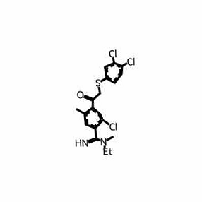 CCN(C)C(=N)c1cc(C)c(C(=O)CSc2ccc(Cl)c(Cl)c2)cc1Cl